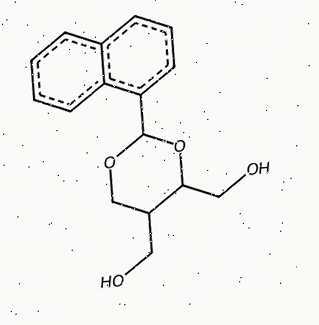 OCC1COC(c2cccc3ccccc23)OC1CO